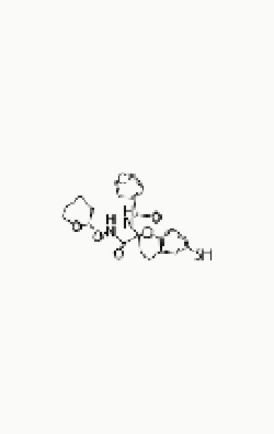 O=C(NC1(C(=O)NOC2CCCCO2)CCc2cc(S)ccc2O1)c1ccccc1